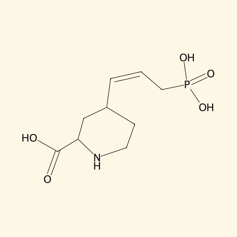 O=C(O)C1CC(/C=C\CP(=O)(O)O)CCN1